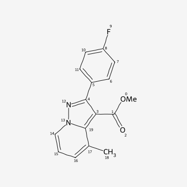 COC(=O)c1c(-c2ccc(F)cc2)nn2cccc(C)c12